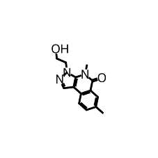 Cc1ccc2c(c1)c(=O)n(C)c1c2cnn1CCO